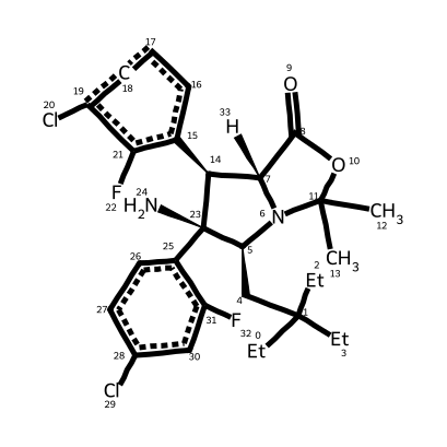 CCC(CC)(CC)C[C@@H]1N2[C@@H](C(=O)OC2(C)C)[C@H](c2cccc(Cl)c2F)[C@@]1(N)c1ccc(Cl)cc1F